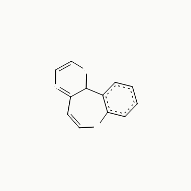 C1=COC2C(=N1)C=COc1ccccc12